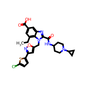 CCc1cc(C(=O)O)cc2nc(C(=O)NC3CCN(C4CC4)CC3)n(Cc3cc(-c4ccc(Cl)s4)no3)c12